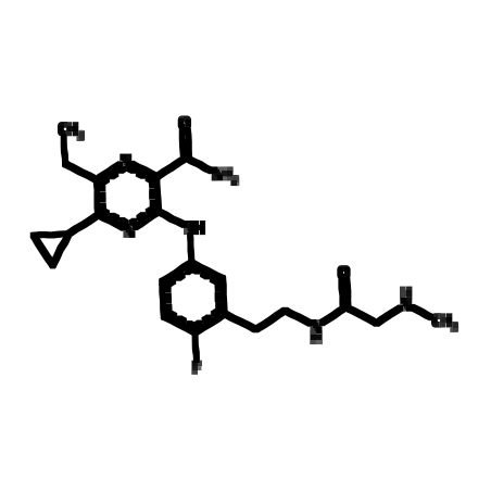 CCc1nc(C(N)=O)c(Nc2ccc(F)c(CCNC(=O)CNC)c2)nc1C1CC1